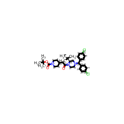 CC(C)(C)OC(=O)N1CCC(CC(=O)N2CCN(C(c3ccc(Cl)cc3)c3ccc(Cl)cc3)C[C@@H]2C(C)(C)C)CC1